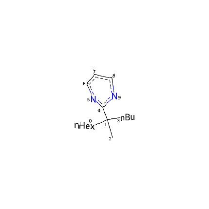 CCCCCCC(C)(CCCC)c1ncccn1